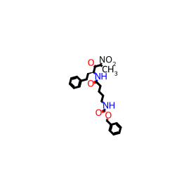 CC(C(=O)[C@H](CCc1ccccc1)NC(=O)CCCCNC(=O)OCc1ccccc1)[N+](=O)[O-]